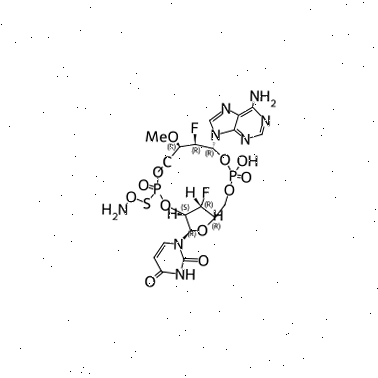 CO[C@@H]1COP(=O)(SON)O[C@@H]2[C@H](F)[C@@H](COP(=O)(O)O[C@@H](n3cnc4c(N)ncnc43)[C@@H]1F)O[C@H]2n1ccc(=O)[nH]c1=O